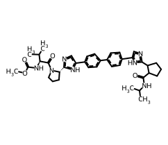 COC(=O)N[C@H](C(=O)N1CCC[C@H]1c1ncc(-c2ccc(-c3ccc(-c4cnc(C5CCCC5C(=O)NC(C)C)[nH]4)cc3)cc2)[nH]1)C(C)C